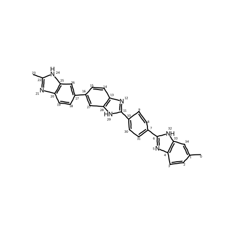 Cc1ccc2nc(-c3ccc(-c4nc5ccc(-c6ccc7nc(C)[nH]c7c6)cc5[nH]4)cc3)[nH]c2c1